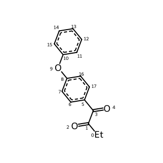 CCC(=O)C(=O)c1ccc(Oc2ccccc2)cc1